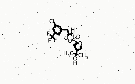 CC(C)(O)c1coc(S(=O)(=O)NC(=O)Cc2cc(Cl)cc(C(F)(F)F)c2)c1